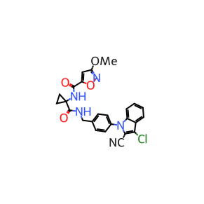 COc1cc(C(=O)NC2(C(=O)NCc3ccc(-n4c(C#N)c(Cl)c5ccccc54)cc3)CC2)on1